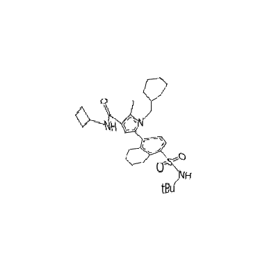 Cc1c(C(=O)NC2CCC2)cc(-c2ccc(S(=O)(=O)NC(C)(C)C)c3c2CCCC3)n1CC1CCCCC1